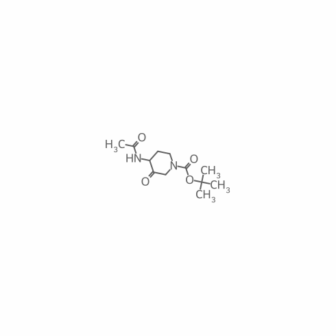 CC(=O)NC1CCN(C(=O)OC(C)(C)C)CC1=O